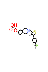 Cc1c(-c2ccc(C(C)(F)F)cc2)csc1CN1CCc2ccc(OCC(=O)O)cc2CC1